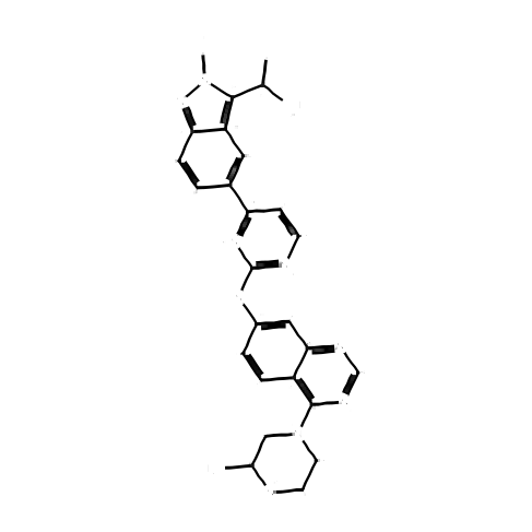 CC1CN(c2ncnc3cc(Nc4nccc(-c5ccc6nn(C)c(C(C)C)c6c5)n4)ccc23)CCN1